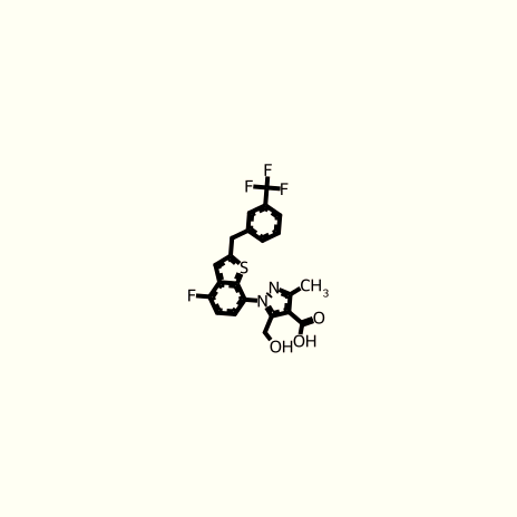 Cc1nn(-c2ccc(F)c3cc(Cc4cccc(C(F)(F)F)c4)sc23)c(CO)c1C(=O)O